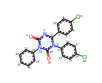 O=c1nc(-c2ccc(Cl)cc2)n(-c2ccc(Cl)cc2)c(=O)n1-c1ccccc1